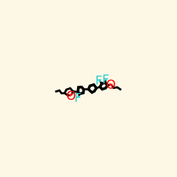 CCCOc1ccc(-c2ccc(-c3ccc(C4CCC(CCC)CO4)c(F)c3)cc2)c(F)c1F